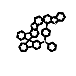 c1ccc(N(c2ccc(-c3cccc4c3sc3ccccc34)cc2)c2ccc3c(c2)C2(c4ccccc4-3)c3ccccc3-c3c2ccc2c3oc3ccccc32)cc1